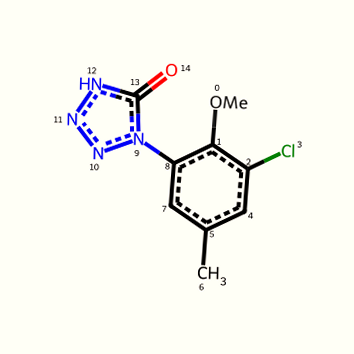 COc1c(Cl)cc(C)cc1-n1nn[nH]c1=O